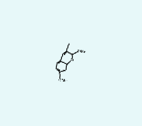 COC1=CC=C2C=C(C)C(OC)OC2C1